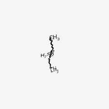 CCCCCCCCO[SiH2]OCCCCCCCC